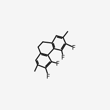 Cc1cc2c(c(F)c1F)-c1c(cc(C)c(F)c1F)CC2